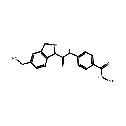 CCCNC(=O)c1ccc(NC(=O)C2NCc3cc(CO)ccc32)cc1